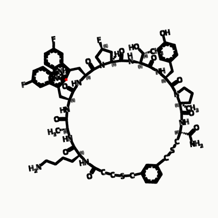 C[C@H]1NC(=O)[C@H](CCCCN)NC(=O)CCSCc2cccc(c2)CSC[C@@H](C(N)=O)NC(=O)[C@]2(C)CCCN2C(=O)[C@H](Cc2ccc(O)cc2)NC(=O)[C@H]([C@@H](C)O)NC(=O)[C@@H]2C[C@H](F)CN2C(=O)[C@H](Cc2c[nH]c3ccc(F)cc23)NC(=O)[C@H](Cc2c[nH]c3ccc(F)cc23)NC1=O